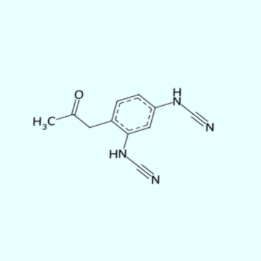 CC(=O)Cc1ccc(NC#N)cc1NC#N